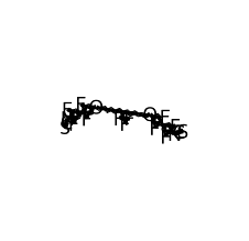 FC(F)=C(F)C(CCCCCCOc1cc(F)c(-c2cc(F)c(N=C=S)c(F)c2)c(F)c1)CCCCCCOc1cc(F)c(-c2cc(F)c(N=C=S)c(F)c2)c(F)c1